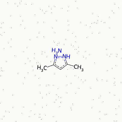 Cc1cc(C)[nH]n1.N